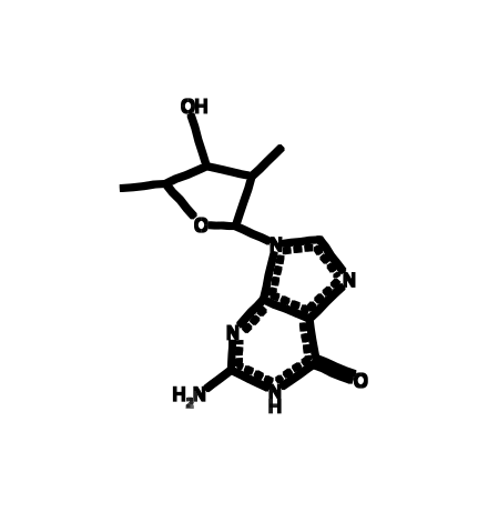 CC1OC(n2cnc3c(=O)[nH]c(N)nc32)C(C)C1O